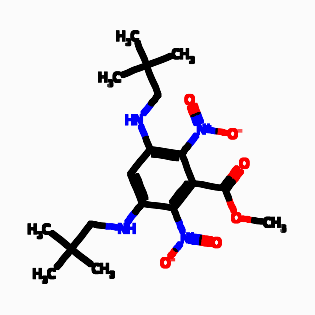 COC(=O)c1c([N+](=O)[O-])c(NCC(C)(C)C)cc(NCC(C)(C)C)c1[N+](=O)[O-]